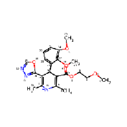 COCCOC(=O)C1=C(C)NC(C)=C(c2nnco2)C1c1cccc(OC)c1OC